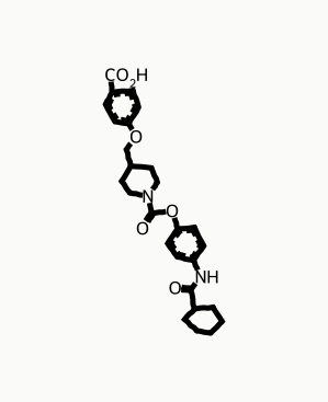 O=C(O)c1ccc(OCC2CCN(C(=O)Oc3ccc(NC(=O)C4CCCCC4)cc3)CC2)cc1